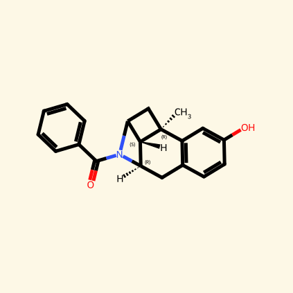 C[C@@]12CC3[C@H]1[C@@H](Cc1ccc(O)cc12)N3C(=O)c1ccccc1